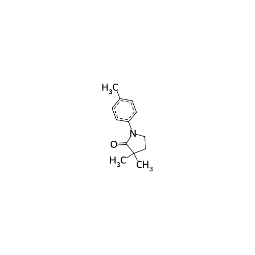 Cc1ccc(N2CCC(C)(C)C2=O)cc1